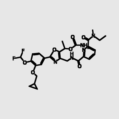 CCN(C)C(=O)c1cccc(C(=O)NCc2nc(-c3ccc(OC(F)F)c(OCC4CC4)c3)oc2C(C)OC(N)=O)n1